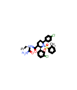 Cc1ccccc1S(=O)(=O)N1C(c2ccc(Cl)cc2)CC=C(C(=O)N[C@@H](CC(C)C)C(N)=O)[C@@H]1c1cccc(Cl)c1